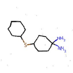 NC1(N)CCC(SC2CCCCC2)CC1